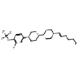 FCCCC=C[C@H]1CC[C@H]([C@H]2CC[C@H](c3ccc(OC(F)(F)F)c(F)c3)CC2)CC1